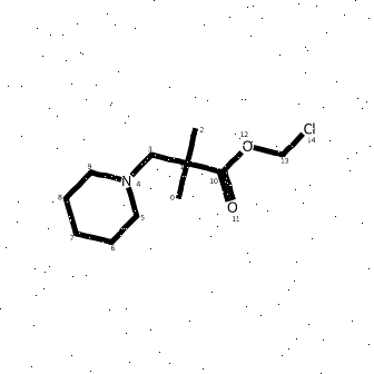 CC(C)(CN1CCCCC1)C(=O)OCCl